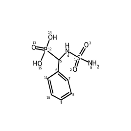 NS(=O)(=O)NC(c1ccccc1)P(=O)(O)O